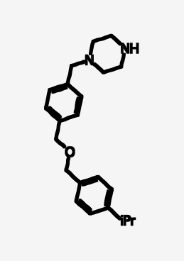 CC(C)c1ccc(COCc2ccc(CN3CCNCC3)cc2)cc1